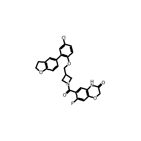 O=C1COc2cc(F)c(C(=O)N3CC(COc4ccc(Cl)cc4-c4ccc5c(c4)CCO5)C3)cc2N1